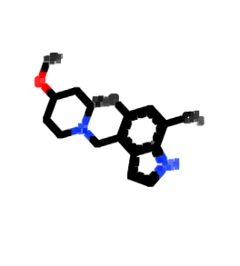 CCCOC1CCN(Cc2c(OC)cc(C)c3[nH]ccc23)CC1